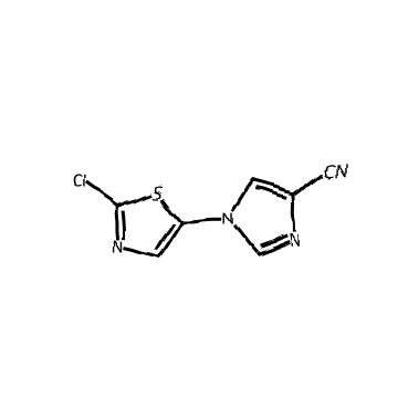 N#Cc1cn(-c2cnc(Cl)s2)cn1